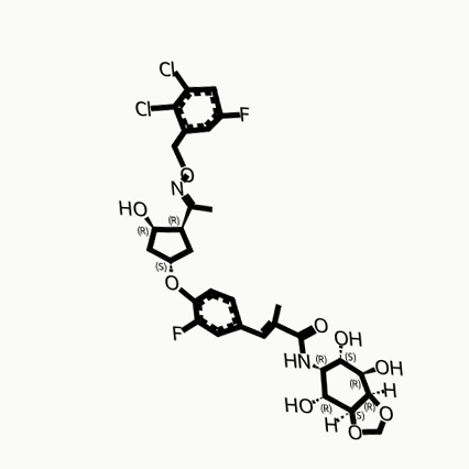 CC(=Cc1ccc(O[C@@H]2C[C@@H](O)[C@@H](C(C)=NOCc3cc(F)cc(Cl)c3Cl)C2)c(F)c1)C(=O)N[C@@H]1[C@H](O)[C@@H](O)[C@H]2OCO[C@H]2[C@@H]1O